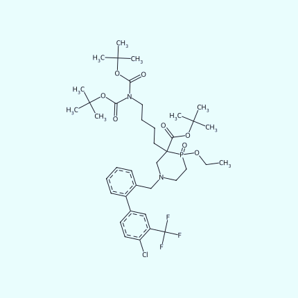 CCOP1(=O)CCN(Cc2ccccc2-c2ccc(Cl)c(C(F)(F)F)c2)CC1(CCCCN(C(=O)OC(C)(C)C)C(=O)OC(C)(C)C)C(=O)OC(C)(C)C